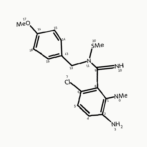 CNc1c(N)ccc(Cl)c1C(=N)N(Cc1ccc(OC)cc1)SC